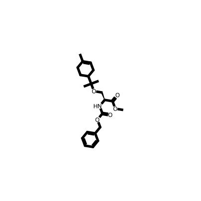 COC(=O)[C@H](COC(C)(C)C1CC=C(C)CC1)NC(=O)OCc1ccccc1